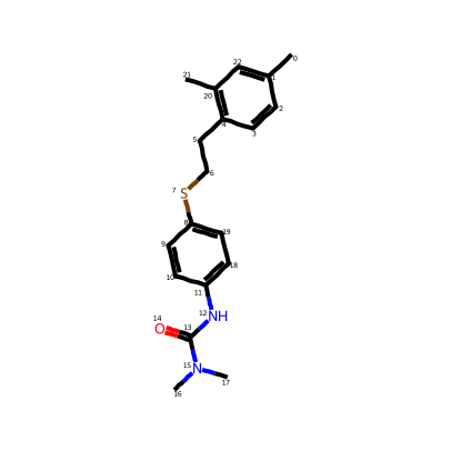 Cc1ccc(CCSc2ccc(NC(=O)N(C)C)cc2)c(C)c1